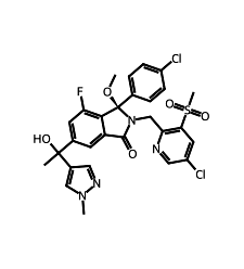 CO[C@]1(c2ccc(Cl)cc2)c2c(F)cc(C(C)(O)c3cnn(C)c3)cc2C(=O)N1Cc1ncc(Cl)cc1S(C)(=O)=O